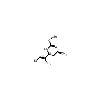 C=CC[C@H](NC(=O)OC(C)(C)C)/C(C)=C/CC